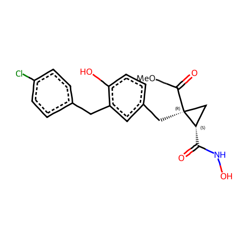 COC(=O)[C@@]1(Cc2ccc(O)c(Cc3ccc(Cl)cc3)c2)C[C@@H]1C(=O)NO